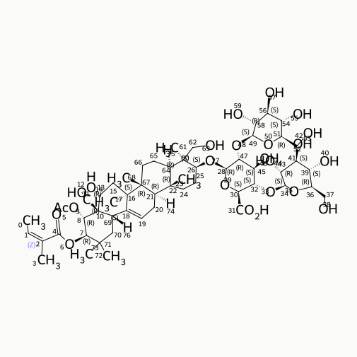 C/C=C(/C)C(=O)O[C@H]1[C@H](OC(C)=O)[C@]2(CO)[C@H](O)C[C@]3(C)C(=CC[C@@H]4[C@@]5(C)CC[C@H](O[C@@H]6O[C@H](C(=O)O)[C@@H](O[C@@H]7O[C@H](CO)[C@@H](O)[C@H](O)[C@H]7O)[C@H](O)[C@H]6O[C@@H]6O[C@H](CO)[C@@H](O)[C@H](O)[C@H]6O)[C@](C)(CO)[C@@H]5CC[C@]43C)[C@@H]2CC1(C)C